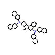 CC1(C)c2cc(N(c3ccc4c(c3)CCCC4)c3ccc4ccccc4c3)ccc2-c2c1cc(N(c1ccc3c(c1)CCCC3)c1ccc3ccccc3c1)c1ccccc21